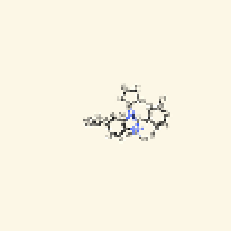 Cc1ccc(C)c(-c2n(C3CCCC3)c3cc(C(C)(C)C)ccc3[n+]2C)c1